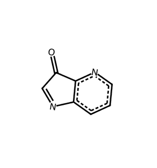 O=C1C=Nc2cccnc21